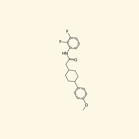 COc1ccc(C2CCC(CC(=O)Nc3cccc(F)c3F)CC2)cc1